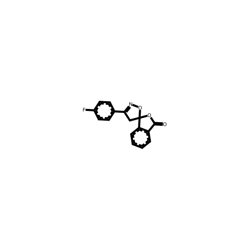 O=C1OC2(CC(c3ccc(F)cc3)=NO2)c2ccccc21